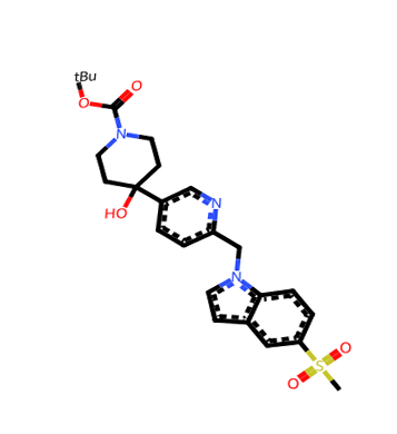 CC(C)(C)OC(=O)N1CCC(O)(c2ccc(Cn3ccc4cc(S(C)(=O)=O)ccc43)nc2)CC1